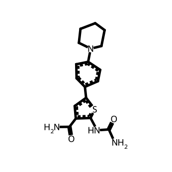 NC(=O)Nc1sc(-c2ccc(N3CCCCC3)cc2)cc1C(N)=O